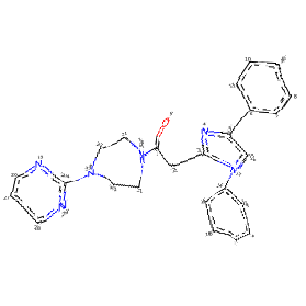 O=C(Cc1nc(-c2ccccc2)cn1-c1ccccc1)N1CCN(c2ncccn2)CC1